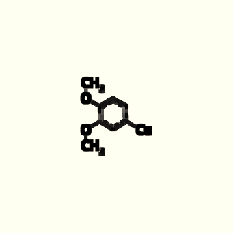 COc1cc[c]([Cu])cc1OC